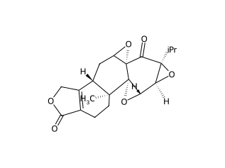 CC(C)[C@]12O[C@H]1[C@@H]1O[C@@]13[C@@]1(C)CCC4=C(COC4=O)[C@@H]1CC1O[C@@]13C2=O